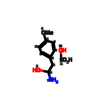 COc1ccc(CC(N)O)cc1.O=S(=O)(O)O